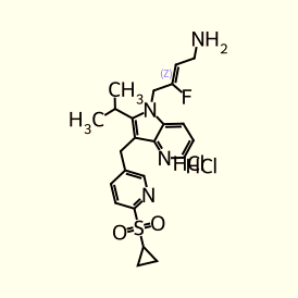 CC(C)c1c(Cc2ccc(S(=O)(=O)C3CC3)nc2)c2ncccc2n1C/C(F)=C/CN.Cl.Cl